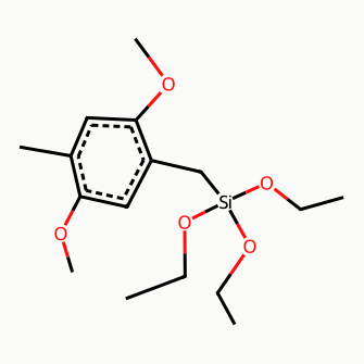 CCO[Si](Cc1cc(OC)c(C)cc1OC)(OCC)OCC